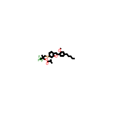 C=C(C)C(=O)OCC(C)(CSc1ccc2cc(-c3ccc(CCCCC)cc3OC)oc2c1)C(F)(F)F